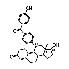 C[C@]12C[C@H](c3ccc(C(=O)c4ccc(C#N)cc4)cc3)C3=C4CCC(=O)C=C4CCC3C1CC[C@@H]2O